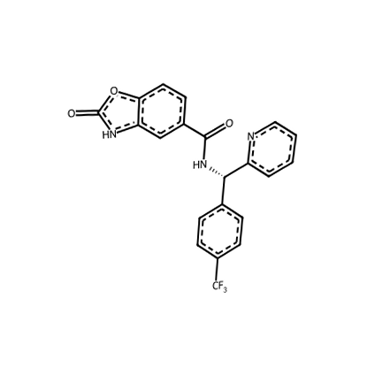 O=C(N[C@@H](c1ccc(C(F)(F)F)cc1)c1ccccn1)c1ccc2oc(=O)[nH]c2c1